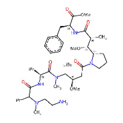 CC[C@H](C)C([C@@H](CC(=O)N1CCC[C@H]1[C@H](OC)[C@@H](C)C(=O)N[C@@H](Cc1ccccc1)C(=O)OC)OC)N(C)C(=O)[C@@H](NC(=O)C(C(C)C)N(C)CCN)C(C)C